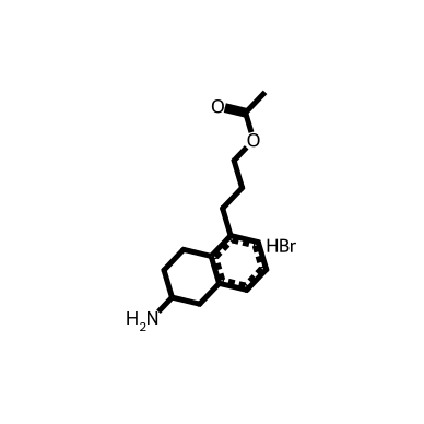 Br.CC(=O)OCCCc1cccc2c1CCC(N)C2